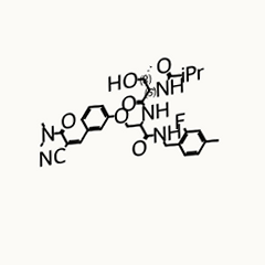 Cc1ccc(CNC(=O)C(COc2cccc(C=C(C#N)C(=O)N(C)C)c2)NC(=O)[C@@H](NC(=O)C(C)C)[C@@H](C)O)c(F)c1